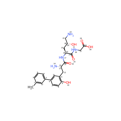 Cc1cccc(-c2ccc(O)c(C[C@H](N)C(=O)N[C@@H](C[C@@H](O)CN)C(=O)NCC(=O)O)c2)c1